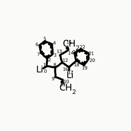 [Li][CH](c1ccccc1)C(CC=C)C(CC=C)[CH]([Li])c1ccccc1